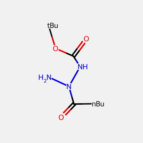 CCCCC(=O)N(N)NC(=O)OC(C)(C)C